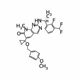 COc1ccc(COC2(c3cc4cnc(N[C@H](C)c5cccc(C(F)F)c5F)nc4n(C)c3=O)CC2)cc1